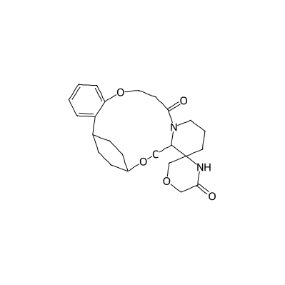 O=C1COCC2(CCCN3C(=O)CCOc4ccccc4C4CCC(CC4)OCC32)N1